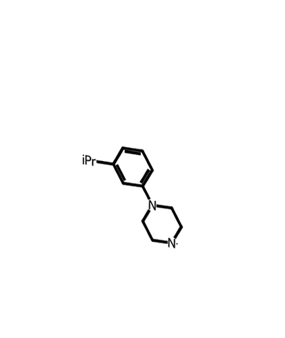 CC(C)c1cccc(N2CC[N]CC2)c1